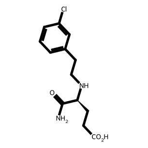 NC(=O)[C@H](CCC(=O)O)NCCc1cccc(Cl)c1